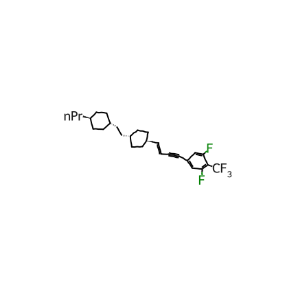 CCC[C@H]1CC[C@H](CC[C@H]2CC[C@H](C=CC#Cc3cc(F)c(C(F)(F)F)c(F)c3)CC2)CC1